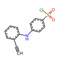 C#Cc1ccccc1Nc1ccc(S(=O)(=O)Cl)cc1